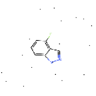 Fc1cccc2c1C=N[N]2